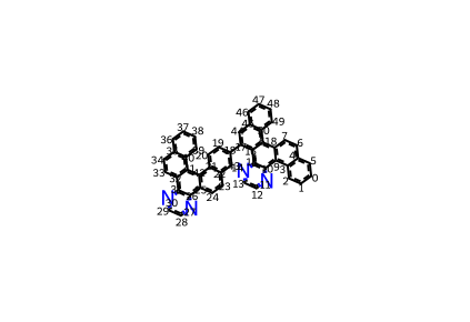 c1ccc2c(c1)ccc1c2c2nccnc2c2c(-c3ccc4c(ccc5c6nccnc6c6ccc7ccccc7c6c45)c3)cc3ccccc3c12